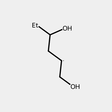 CCC(O)C[CH]CO